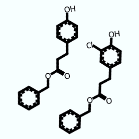 O=C(CCc1ccc(O)c(Cl)c1)OCc1ccccc1.O=C(CCc1ccc(O)cc1)OCc1ccccc1